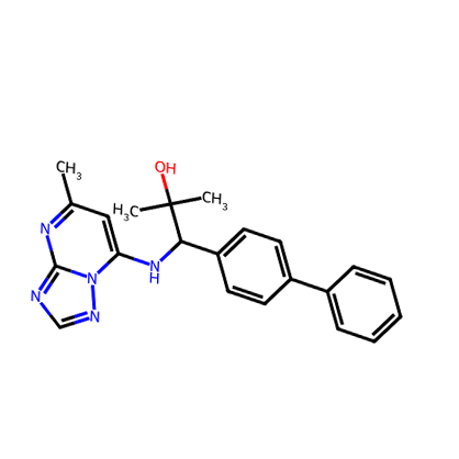 Cc1cc(NC(c2ccc(-c3ccccc3)cc2)C(C)(C)O)n2ncnc2n1